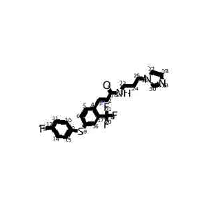 O=C(/C=C/c1ccc(Sc2ccc(F)cc2)cc1C(F)(F)F)NCCCn1ccnc1